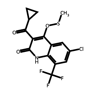 CSOc1c(C(=O)C2CC2)c(=O)[nH]c2c(C(F)(F)F)cc(Cl)cc12